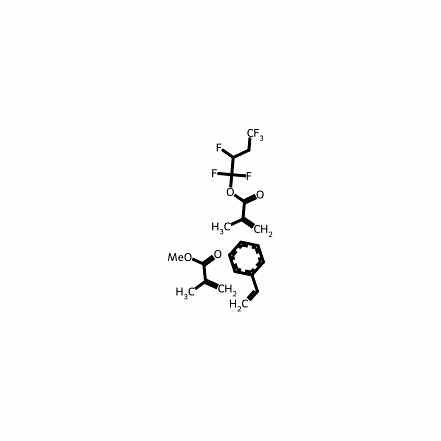 C=C(C)C(=O)OC.C=C(C)C(=O)OC(F)(F)C(F)CC(F)(F)F.C=Cc1ccccc1